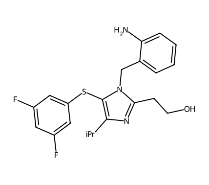 CC(C)c1nc(CCO)n(Cc2ccccc2N)c1Sc1cc(F)cc(F)c1